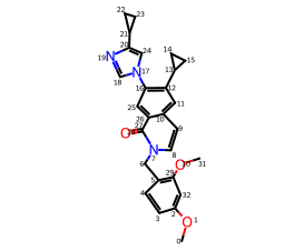 COc1ccc(Cn2ccc3cc(C4CC4)c(-n4cnc(C5CC5)c4)cc3c2=O)c(OC)c1